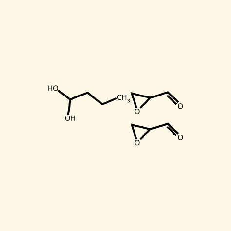 CCCC(O)O.O=CC1CO1.O=CC1CO1